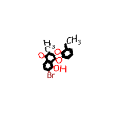 CCc1ccccc1OC1=C(C)C(=O)c2ccc(Br)c(O)c2C1=O